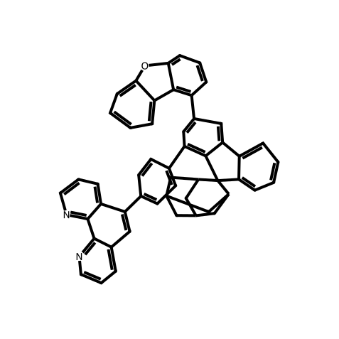 c1ccc2c(c1)-c1cc(-c3cccc4oc5ccccc5c34)cc(-c3ccc(-c4cc5cccnc5c5ncccc45)cc3)c1C21C2CC3CC(C2)CC1C3